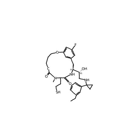 CCc1cccc(C2(NC[C@@H](O)[C@@H]3Cc4cc(F)cc(c4)OCCCCC(=O)N(C)C(CCS)C(=O)N3)CC2)c1